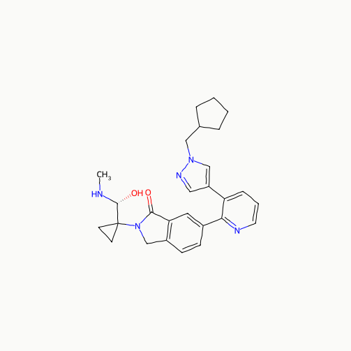 CN[C@H](O)C1(N2Cc3ccc(-c4ncccc4-c4cnn(CC5CCCC5)c4)cc3C2=O)CC1